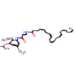 CC/C=C\C/C=C\C/C=C\C/C=C\C/C=C\C/C=C\CCC(=O)NCCC(=O)NC1CC(C(=O)O)=CC(OC(CC)CC)C1NC(C)=O